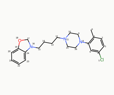 Cc1ccc(Cl)cc1N1CCN(CCCCN2COc3ccccc32)CC1